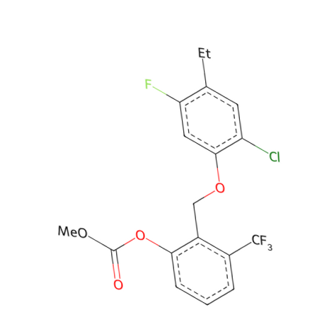 CCc1cc(Cl)c(OCc2c(OC(=O)OC)cccc2C(F)(F)F)cc1F